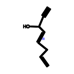 C#CC(O)/C=C/CC=C